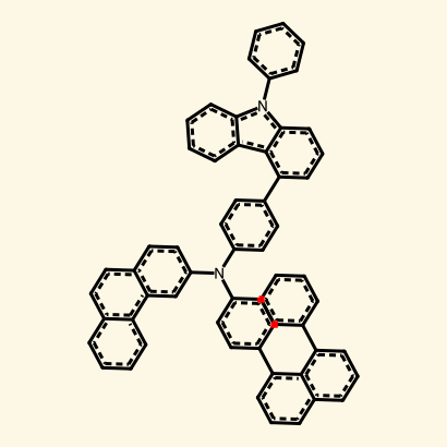 c1ccc(-c2cccc3cccc(-c4ccc(N(c5ccc(-c6cccc7c6c6ccccc6n7-c6ccccc6)cc5)c5ccc6ccc7ccccc7c6c5)cc4)c23)cc1